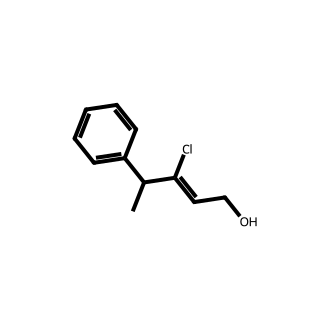 CC(C(Cl)=CCO)c1ccccc1